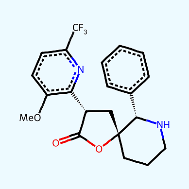 COc1ccc(C(F)(F)F)nc1[C@@H]1C[C@@]2(CCCN[C@H]2c2ccccc2)OC1=O